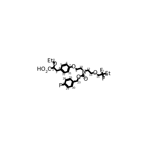 CCOC(Cc1ccc(OCCN(CCOCC(F)(F)CC)C(=O)OCc2ccc(F)cc2)cc1)C(=O)O